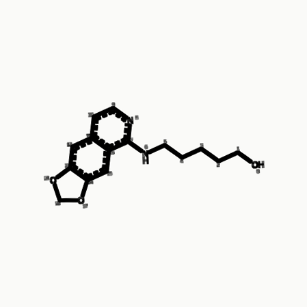 OCCCCCNc1nccc2cc3c(cc12)OCO3